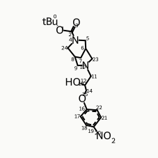 CC(C)(C)OC(=O)N1CC2CC(CN(CC(O)COc3ccc([N+](=O)[O-])cc3)C2)C1